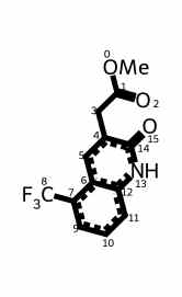 COC(=O)Cc1cc2c(C(F)(F)F)cccc2[nH]c1=O